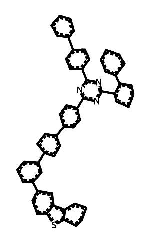 c1ccc(-c2ccc(-c3nc(-c4ccc(-c5ccc(-c6cccc(-c7ccc8sc9ccccc9c8c7)c6)cc5)cc4)nc(-c4ccccc4-c4ccccc4)n3)cc2)cc1